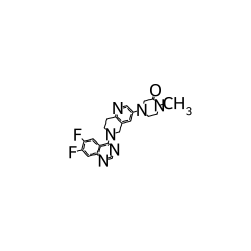 CN1CCN(c2cnc3c(c2)CN(c2ncnc4cc(F)c(F)cc24)CC3)CC1=O